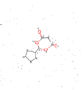 O=C1CC(=O)OC(C2CCCC2)O1